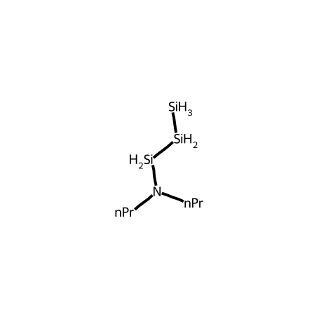 CCCN(CCC)[SiH2][SiH2][SiH3]